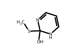 CSC1(O)N=CC=CN1